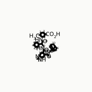 Cc1ccc(C(=O)O)cc1NC(=O)C(CNC(=O)c1cc2nc[nH]c2cc1C(=O)NCC12CC3CC(CC(C3)C1)C2)c1ccccc1